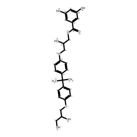 CC(C)(c1ccc(OCC(O)CO)cc1)c1ccc(OCC(O)COC(=O)c2cc(O)cc(O)c2)cc1